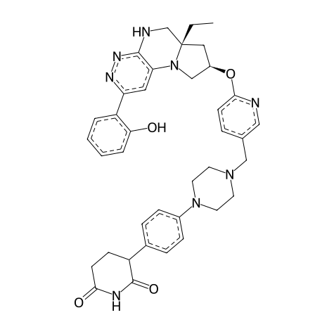 CC[C@]12CNc3nnc(-c4ccccc4O)cc3N1C[C@H](Oc1ccc(CN3CCN(c4ccc(C5CCC(=O)NC5=O)cc4)CC3)cn1)C2